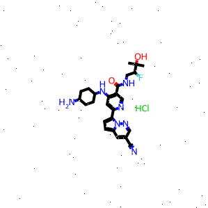 CC(C)(O)C(F)CNC(=O)c1cnc(-c2ccc3cc(C#N)cnn23)cc1NC1CCC(N)CC1.Cl